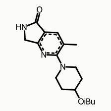 Cc1cc2c(nc1N1CCC(OCC(C)C)CC1)CNC2=O